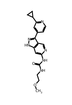 COCCNC(=O)Nc1cc2[nH]nc(-c3ccnc(C4CC4)c3)c2cn1